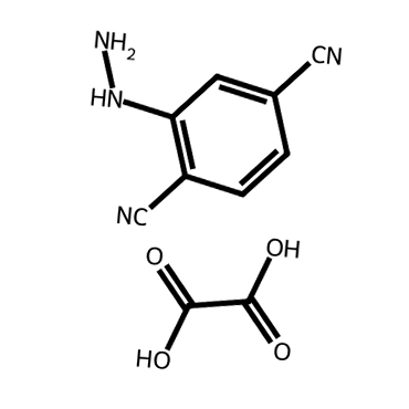 N#Cc1ccc(C#N)c(NN)c1.O=C(O)C(=O)O